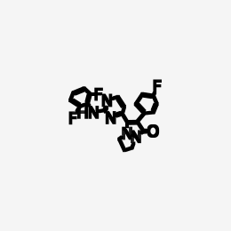 O=c1c(-c2ccc(F)cc2)c(-c2ccnc(Nc3c(F)cccc3F)n2)n2n1CCC2